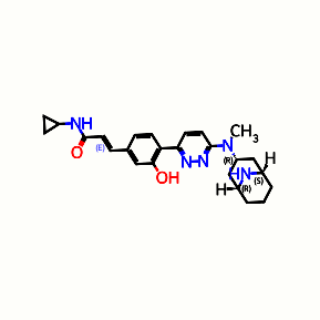 CN(c1ccc(-c2ccc(/C=C/C(=O)NC3CC3)cc2O)nn1)[C@H]1C[C@H]2CCC[C@@H](C1)N2